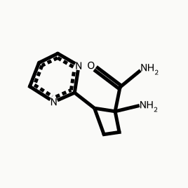 NC(=O)C1(N)CCC1c1ncccn1